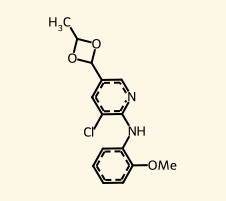 COc1ccccc1Nc1ncc(C2OC(C)O2)cc1Cl